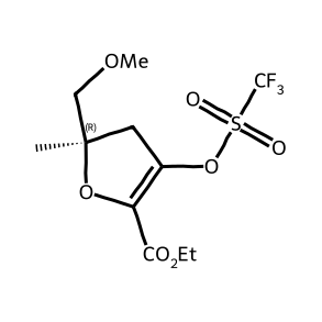 CCOC(=O)C1=C(OS(=O)(=O)C(F)(F)F)C[C@](C)(COC)O1